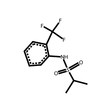 CC(C)S(=O)(=O)Nc1ccccc1C(F)(F)F